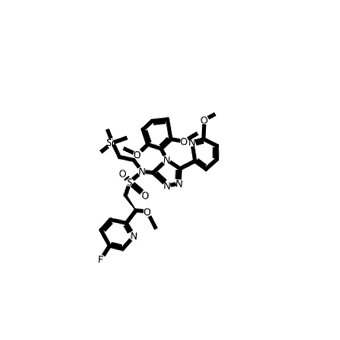 COc1cccc(-c2nnc(N(CC[Si](C)(C)C)S(=O)(=O)C[C@@H](OC)c3ccc(F)cn3)n2-c2c(OC)cccc2OC)n1